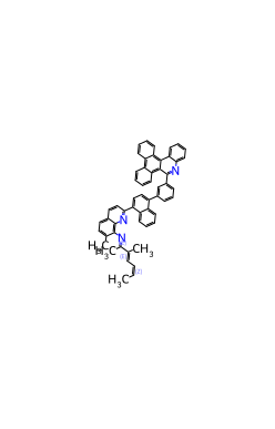 C\C=C/C=C(C)/C(C)=N/c1c(C)ccc2ccc(-c3ccc(-c4cccc(-c5nc6ccccc6c6c7ccccc7c7ccccc7c56)c4)c4ccccc34)nc12